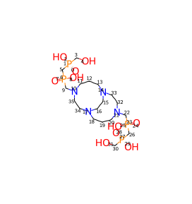 O=P(O)(CO)CP(=O)(O)CN1CCCN2CCN(CCCN(CP(=O)(O)CP(=O)(O)CO)CC2)CC1